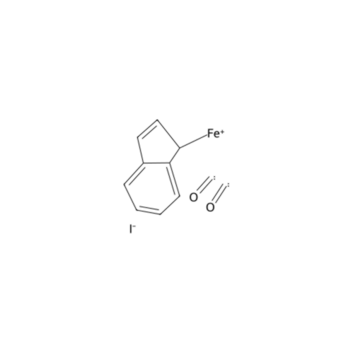 [C]=O.[C]=O.[Fe+][CH]1C=Cc2ccccc21.[I-]